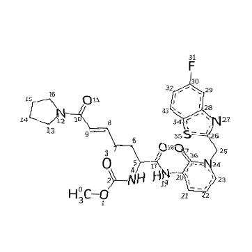 COC(=O)NC(CC/C=C/C(=O)N1CCCC1)C(=O)Nc1cccn(Cc2nc3cc(F)ccc3s2)c1=O